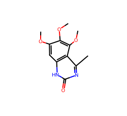 COc1cc2[nH]c(=O)nc(C)c2c(OC)c1OC